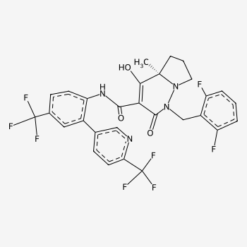 C[C@]12CCCN1N(Cc1c(F)cccc1F)C(=O)C(C(=O)Nc1ccc(C(F)(F)F)cc1-c1ccc(C(F)(F)F)nc1)=C2O